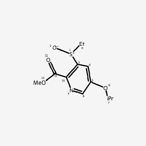 CC[S+]([O-])c1cc(OC(C)C)cnc1C(=O)OC